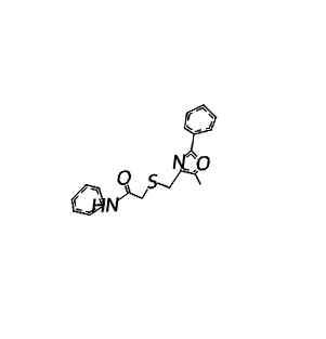 Cc1oc(-c2ccccc2)nc1CSCC(=O)Nc1ccccc1